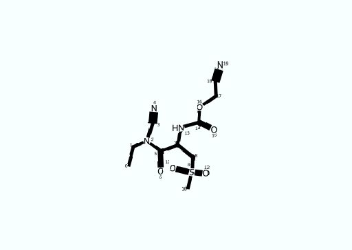 CCN(C#N)C(=O)C(CS(C)(=O)=O)NC(=O)OCC#N